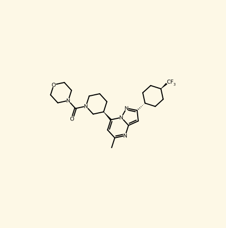 Cc1cc([C@@H]2CCCN(C(=O)N3CCOCC3)C2)n2nc([C@H]3CC[C@H](C(F)(F)F)CC3)cc2n1